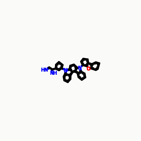 N=CC(=N)c1cccc(-n2c3ccccc3c3c4c5ccccc5n(-c5cccc6c5oc5ccccc56)c4ccc32)c1